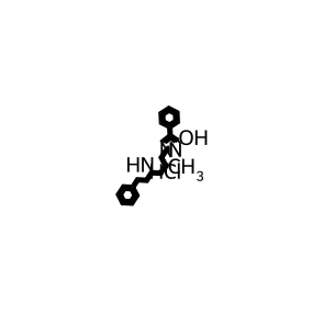 CC(CC(=N)CCc1ccccc1)Cn1cc(-c2ccccc2)c(O)n1.Cl